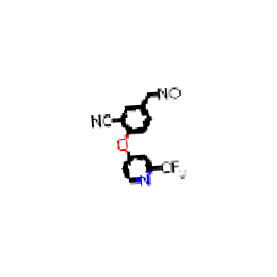 N#Cc1cc(CN=O)ccc1Oc1ccnc(C(F)(F)F)c1